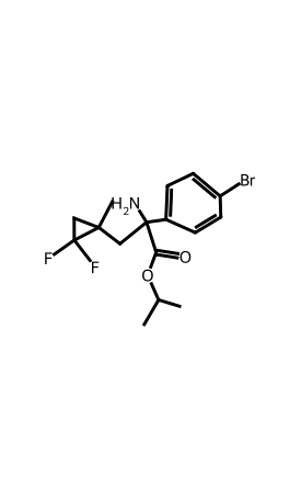 CC(C)OC(=O)C(N)(CC1(C)CC1(F)F)c1ccc(Br)cc1